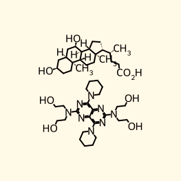 C[C@H](CCC(=O)O)[C@H]1CC[C@H]2[C@@H]3[C@H](O)C[C@@H]4C[C@H](O)CC[C@]4(C)[C@H]3CC[C@]12C.OCCN(CCO)c1nc(N2CCCCC2)c2nc(N(CCO)CCO)nc(N3CCCCC3)c2n1